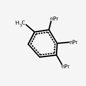 CCCc1ccc(C)c(CCC)c1CCC